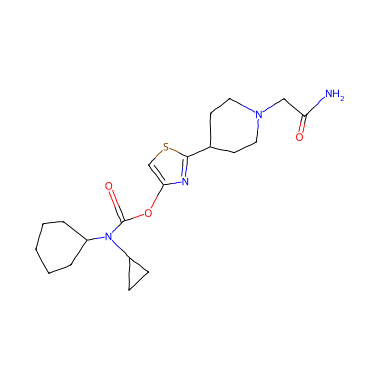 NC(=O)CN1CCC(c2nc(OC(=O)N(C3CCCCC3)C3CC3)cs2)CC1